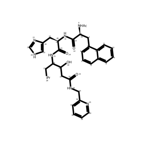 CC(=O)N[C@@H](Cc1cccc2ccccc12)C(=O)N[C@H](Cc1c[nH]cn1)C(=O)NC(CC(C)C)C(O)CC(=O)NCc1ccccn1